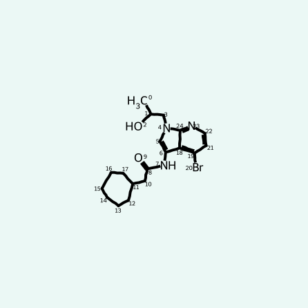 CC(O)Cn1cc(NC(=O)CC2CCCCCC2)c2c(Br)ccnc21